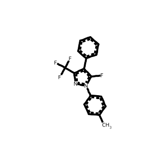 Cc1ccc(-n2nc(C(F)(F)F)c(-c3ccccc3)c2F)cc1